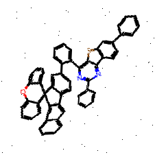 c1ccc(-c2ccc3c(c2)sc2c(-c4ccccc4-c4ccc5c(c4)C4(c6ccccc6Oc6ccccc64)c4cc6ccccc6cc4-5)nc(-c4ccccc4)nc23)cc1